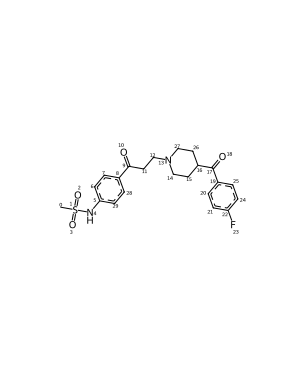 CS(=O)(=O)Nc1ccc(C(=O)CCN2CCC(C(=O)c3ccc(F)cc3)CC2)cc1